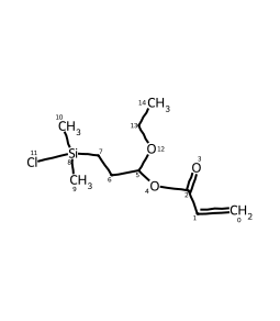 C=CC(=O)OC(CC[Si](C)(C)Cl)OCC